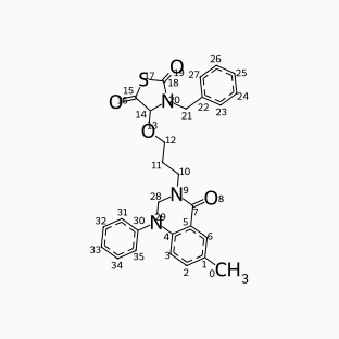 Cc1ccc2c(c1)C(=O)N(CCCOC1C(=O)SC(=O)N1Cc1ccccc1)CN2c1ccccc1